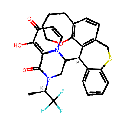 C[C@@H](N1CC([C@@H]2c3ccccc3SCc3ccc4c(c32)OCCCC4)n2ccc(=O)c(O)c2C1=O)C(F)(F)F